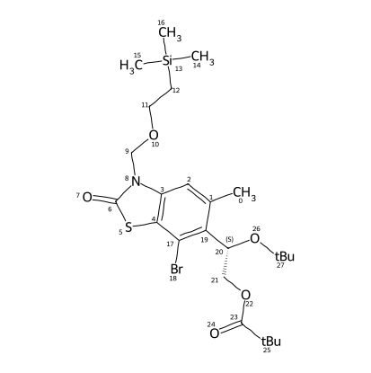 Cc1cc2c(sc(=O)n2COCC[Si](C)(C)C)c(Br)c1[C@@H](COC(=O)C(C)(C)C)OC(C)(C)C